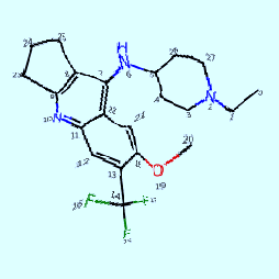 CCN1CCC(Nc2c3c(nc4cc(C(F)(F)F)c(OC)cc24)CCC3)CC1